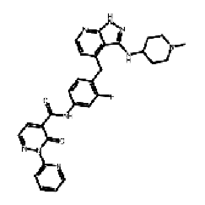 CN1CCC(Nc2n[nH]c3nccc(Cc4ccc(NC(=O)c5ccnn(-c6ccccn6)c5=O)cc4F)c23)CC1